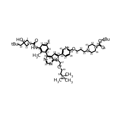 Cc1c(NC(=O)N2CC(O)(CC(C)(C)C)C2)cc(F)cc1-c1ncnc2c1cc(-c1ccc(OCCCN3CCN(C(=O)OC(C)(C)C)CC3)nc1)n2COCCS(C)(C)C